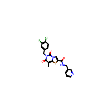 Cc1c(=O)n(Cc2ccc(Cl)c(F)c2)c(=O)n2cc(C(=O)NCc3cccnc3)sc12